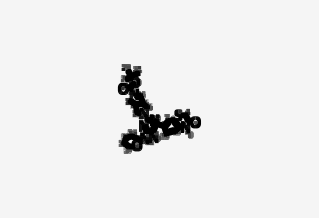 CN1C(=O)CSc2cc(-c3nc(N4CC5CN(C(=O)OC(C)(C)C)CC5C4)nc4c3ncn4C3CCCCO3)ccc21